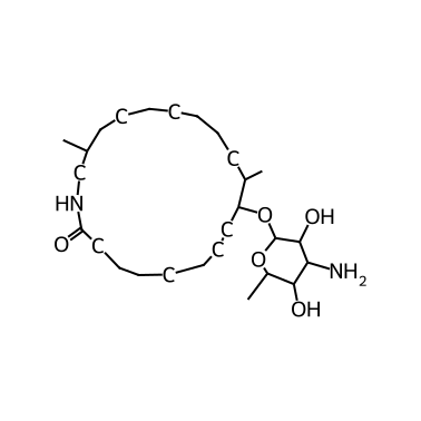 CC1CCCCCCCC(C)C(OC2OC(C)C(O)C(N)C2O)CCCCCCCC(=O)NC1